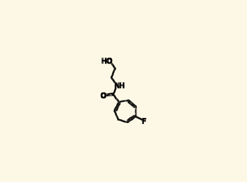 O=C(NCCO)C1=CCC=C(F)C=C1